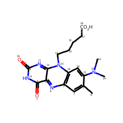 Cc1cc2nc3c(=O)[nH]c(=O)nc-3n(CCCCC(=O)O)c2cc1N(C)C